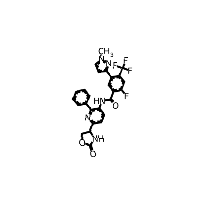 Cn1ccc(-c2cc(C(=O)Nc3ccc(C4COC(=O)N4)nc3-c3ccccc3)c(F)cc2C(F)(F)F)n1